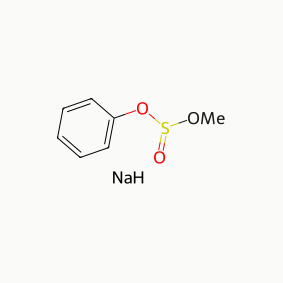 COS(=O)Oc1ccccc1.[NaH]